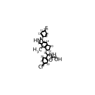 C[C@H]1C2=CNN(c3ccc(F)cc3)C2=CC2=C1[C@@H](CC(NC(=O)CO)c1ccc(Cl)cc1)CC2